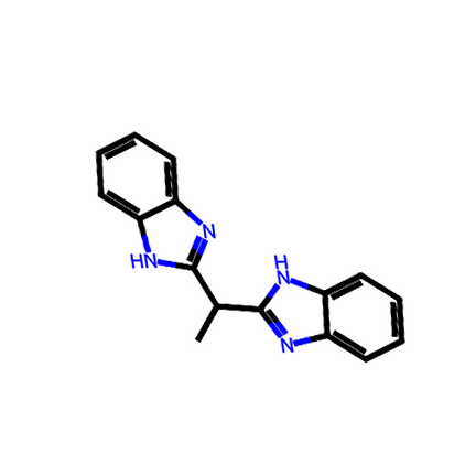 CC(c1nc2ccccc2[nH]1)c1nc2ccccc2[nH]1